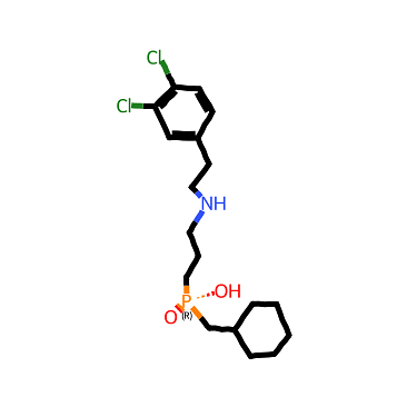 O=[P@@](O)(CCCNCCc1ccc(Cl)c(Cl)c1)CC1CCCCC1